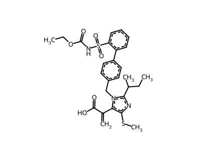 C=C(C(=O)O)c1c(SC)nc(C(C)CC)n1Cc1ccc(-c2ccccc2S(=O)(=O)NC(=O)OCC)cc1